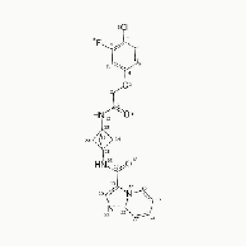 O=C(COc1ccc(Cl)c(F)c1)NC12CC(NC(=O)c3cnc4ccccn34)(C1)C2